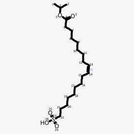 CC(C)OC(=O)CCCCCCC/C=C\CCCCCCCCS(=O)(=O)O